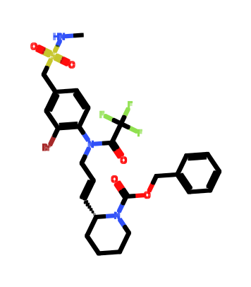 CNS(=O)(=O)Cc1ccc(N(CC=C[C@H]2CCCCN2C(=O)OCc2ccccc2)C(=O)C(F)(F)F)c(Br)c1